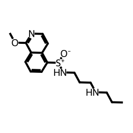 CCCNCCCN[S+]([O-])c1cccc2c(OC)nccc12